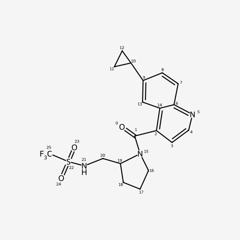 O=C(c1ccnc2ccc(C3CC3)cc12)N1CCCC1CNS(=O)(=O)C(F)(F)F